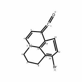 O=C=C1C=CN2CCCc3c(Br)ccc1c32